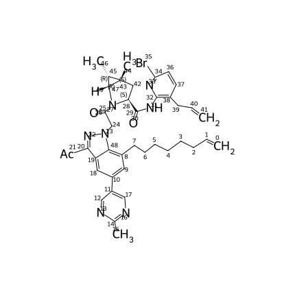 C=CCCCCCCc1cc(-c2cnc(C)nc2)cc2c(C(C)=O)nn(CC(=O)N3[C@H](C(=O)Nc4nc(Br)ccc4CC=C)C[C@@]4(C)[C@@H](C)[C@@H]34)c12